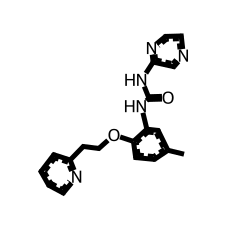 Cc1ccc(OCCc2ccccn2)c(NC(=O)Nc2cnccn2)c1